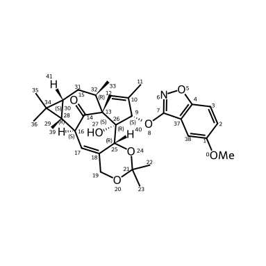 COc1ccc2onc(O[C@H]3C(C)=C[C@]45C(=O)[C@@H](C=C6COC(C)(C)O[C@H]6[C@]34O)[C@@]3(C)[C@@H](C[C@H]5C)C3(C)C)c2c1